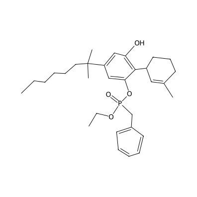 CCCCCCC(C)(C)c1cc(O)c(C2C=C(C)CCC2)c(OP(=O)(Cc2ccccc2)OCC)c1